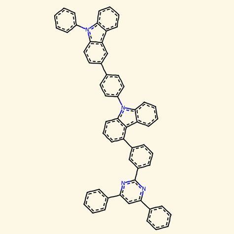 c1ccc(-c2cc(-c3ccccc3)nc(-c3cccc(-c4cccc5c4c4ccccc4n5-c4ccc(-c5ccc6c(c5)c5ccccc5n6-c5ccccc5)cc4)c3)n2)cc1